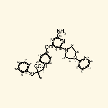 CC(Cc1ccc(Oc2cc(N3CCN(c4ccccn4)CC3)nc(N)n2)cc1)(Oc1ccccc1)C(=O)O